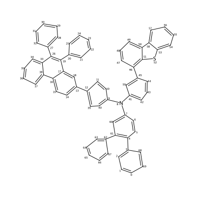 c1ccc(-c2ccc(N(c3ccc(-c4ccc5c(c4)c(-c4ccccc4)c(-c4ccccc4)c4ccccc45)cc3)c3cccc(-c4cccc5c4sc4ccccc45)c3)cc2-c2ccccc2)cc1